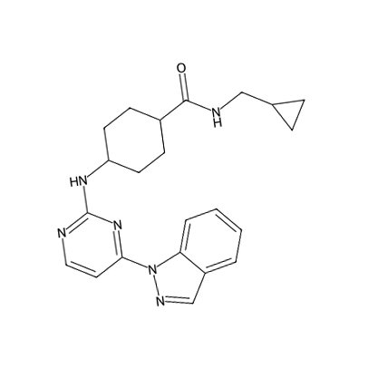 O=C(NCC1CC1)C1CCC(Nc2nccc(-n3ncc4ccccc43)n2)CC1